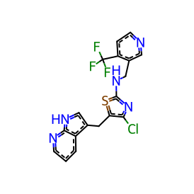 FC(F)(F)c1ccncc1CNc1nc(Cl)c(Cc2c[nH]c3ncccc23)s1